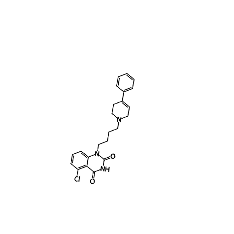 O=c1[nH]c(=O)n(CCCCN2CC=C(c3ccccc3)CC2)c2cccc(Cl)c12